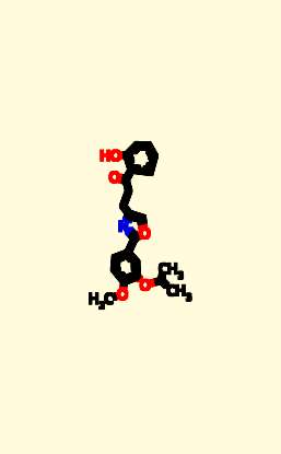 COc1ccc(-c2nc(CCC(=O)c3ccccc3O)co2)cc1OC(C)C